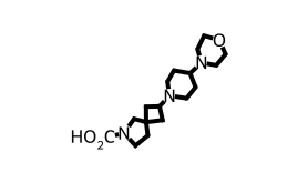 O=C(O)N1CCC2(CC(N3CCC(N4CCOCC4)CC3)C2)C1